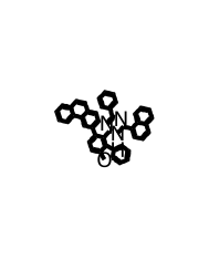 c1ccc(C2=NC(c3c(-c4ccc5ccc6ccccc6c5c4)ccc4oc5ccccc5c34)NC(c3cccc4ccccc34)=N2)cc1